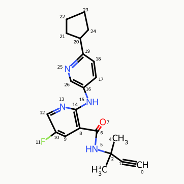 C#CC(C)(C)NC(=O)c1cc(F)cnc1Nc1ccc(C2CCCC2)nc1